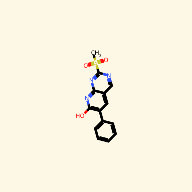 CS(=O)(=O)c1ncc2cc(-c3ccccc3)c(O)nc2n1